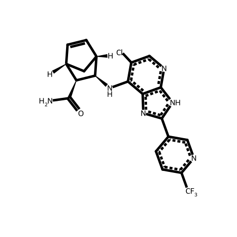 NC(=O)[C@@H]1[C@H](Nc2c(Cl)cnc3[nH]c(-c4ccc(C(F)(F)F)nc4)nc23)[C@H]2C=C[C@@H]1C2